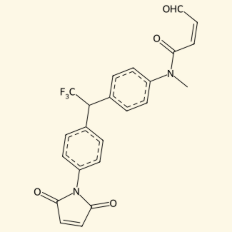 CN(C(=O)/C=C\C=O)c1ccc(C(c2ccc(N3C(=O)C=CC3=O)cc2)C(F)(F)F)cc1